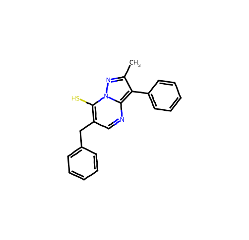 Cc1nn2c(S)c(Cc3ccccc3)cnc2c1-c1ccccc1